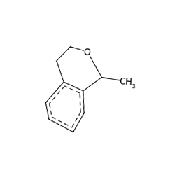 CC1OCCc2ccccc21